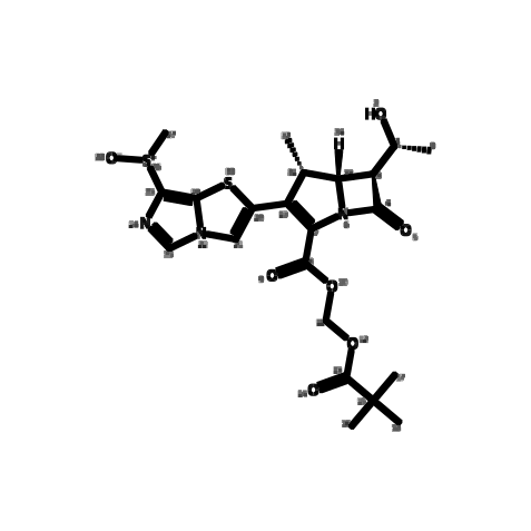 C[C@@H](O)[C@H]1C(=O)N2C(C(=O)OCOC(=O)C(C)(C)C)=C(c3cn4cnc([S+](C)[O-])c4s3)[C@H](C)[C@H]12